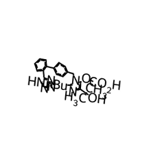 CCCCc1nc(C(C)(C)O)c(OC(=O)O)n1Cc1ccc(-c2ccccc2-c2nnn[nH]2)cc1